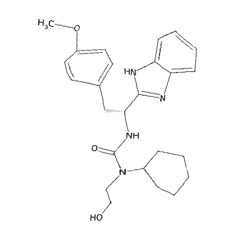 COc1ccc(C[C@@H](NC(=O)N(CCO)C2CCCCC2)c2nc3ccccc3[nH]2)cc1